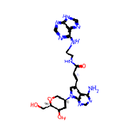 Nc1ncnc2c1c(/C=C/C(=O)NCCNc1ncnc3[nH]cnc13)cn2[C@@H]1CO[C@H](CO)C(O)C1